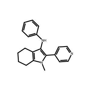 Cn1c2c(c(Nc3ccccc3)c1-c1ccncc1)CCCC2